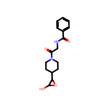 O=C(NCC(=O)N1CCC(C2OC2O)CC1)c1ccccc1